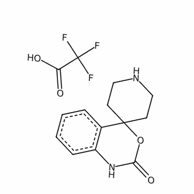 O=C(O)C(F)(F)F.O=C1Nc2ccccc2C2(CCNCC2)O1